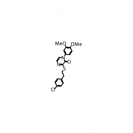 COc1ccc(-n2ccnc(SCCc3ccc(Cl)cc3)c2=O)cc1OC